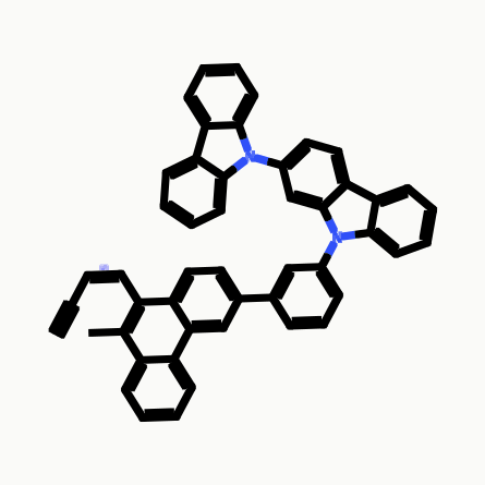 C#C/C=C\c1c(C)c2ccccc2c2cc(-c3cccc(-n4c5ccccc5c5ccc(-n6c7ccccc7c7ccccc76)cc54)c3)ccc12